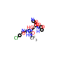 CC(C)(c1ncc(-c2ccc(Cl)cc2)o1)N1CCN(C[C@@H](O)C[C@H](Cc2coc3cnccc23)C(=O)N[C@H]2c3ccccc3OC[C@H]2O)[C@H](C(=O)NCC(F)(F)F)C1